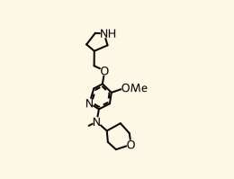 COc1cc(N(C)C2CCOCC2)ncc1OCC1CCNC1